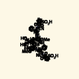 CCN(CC)c1cc(Nc2nc(Nc3cc(N(CC)CC)c(OC)cc3/N=N/c3nc(N4CCCCC4)c(/C=C(\C#N)N4C(=O)c5cccc(S(=O)(=O)O)c5C4=O)s3)nc(N(CCO)CCO)n2)c(/N=N/c2nc(N3CCCCC3)c(/C=C(\C#N)N3C(=O)c4cccc(S(=O)(=O)O)c4C3=O)s2)cc1OC